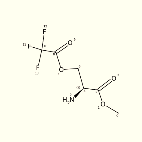 COC(=O)[C@@H](N)COC(=O)C(F)(F)F